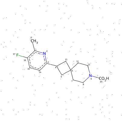 Cc1nc(C2CC3(CCN(C(=O)O)CC3)C2)ccc1F